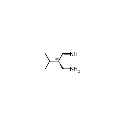 CC(C)[C@@H](C=N)CN